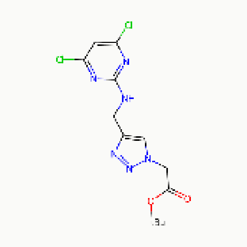 CC(C)(C)OC(=O)Cn1cc(CNc2nc(Cl)cc(Cl)n2)nn1